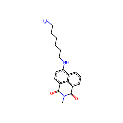 CN1C(=O)c2cccc3c(NCCCCCCN)ccc(c23)C1=O